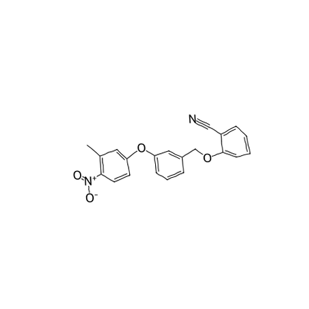 Cc1cc(Oc2cccc(COc3ccccc3C#N)c2)ccc1[N+](=O)[O-]